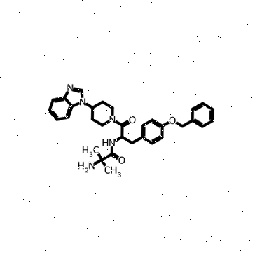 CC(C)(N)C(=O)NC(Cc1ccc(OCc2ccccc2)cc1)C(=O)N1CCC(n2cnc3ccccc32)CC1